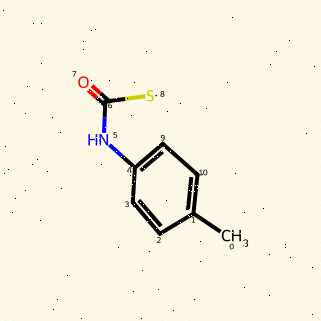 Cc1ccc(NC(=O)[S])cc1